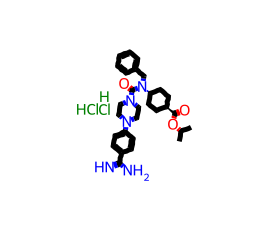 CC(C)OC(=O)[C@H]1CC[C@H](N(Cc2ccccc2)C(=O)N2CCN(c3ccc(C(=N)N)cc3)CC2)CC1.Cl.Cl